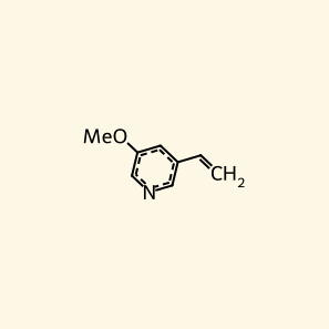 C=Cc1cncc(OC)c1